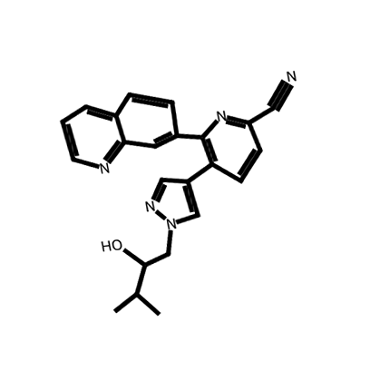 CC(C)C(O)Cn1cc(-c2ccc(C#N)nc2-c2ccc3cccnc3c2)cn1